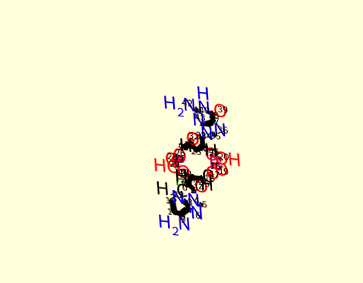 C[C@@]1(F)C(n2cnc3c(N)ccnc32)O[C@@H]2COP(=O)(O)O[C@@H]3C[C@@H](COP(=O)(O)O[C@H]21)OC3n1cnc2c(=O)[nH]c(N)nc21